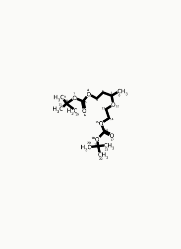 CC(CCOC(=O)OC(C)(C)C)OCCOC(=O)OC(C)(C)C